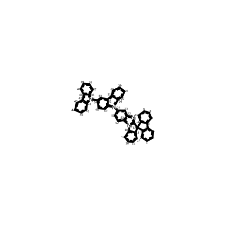 c1ccc2c(c1)-c1ccccc1C21c2ccccc2-n2c1nc1cc(-n3c4ccccc4c4cc(-n5c6ccccc6c6ccccc65)ccc43)ccc12